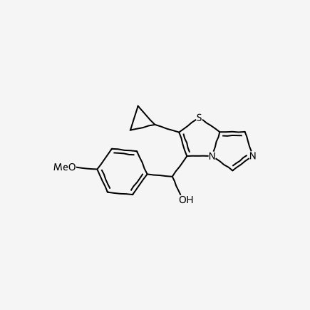 COc1ccc(C(O)c2c(C3CC3)sc3cncn23)cc1